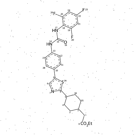 CCOC(=O)CC1CCC(c2ncc(-c3ccc(NC(=O)Nc4c(F)cc(F)cc4F)cc3)s2)CC1